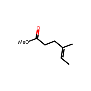 CC=C(C)CCC(=O)OC